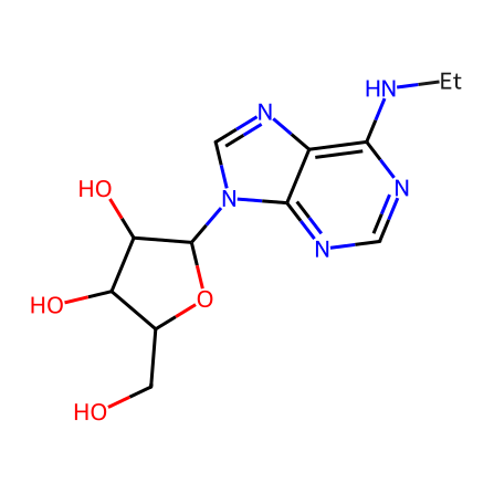 CCNc1ncnc2c1ncn2C1OC(CO)C(O)C1O